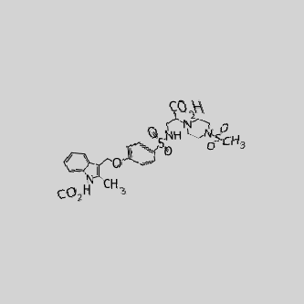 Cc1c(COc2ccc(S(=O)(=O)NC[C@@H](C(=O)O)N3CCN(S(C)(=O)=O)CC3)cc2)c2ccccc2n1C(=O)O